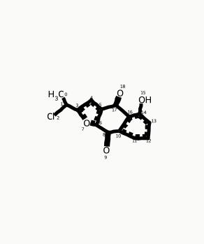 CC(Cl)c1cc2c(o1)C(=O)c1cccc(O)c1C2=O